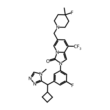 Cn1cnnc1C(c1cc(F)cc(-n2cc3c(C(F)(F)F)cc(CN4CCC(C)(F)CC4)cn3c2=O)c1)C1CCC1